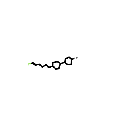 N#CC1CCC(C2CCC(CCCCC=CF)CC2)CC1